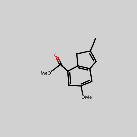 COC(=O)c1cc(OC)cc2c1CC(C)=C2